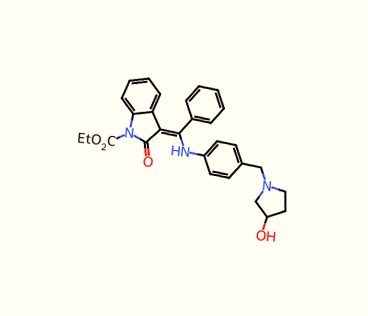 CCOC(=O)N1C(=O)/C(=C(\Nc2ccc(CN3CCC(O)C3)cc2)c2ccccc2)c2ccccc21